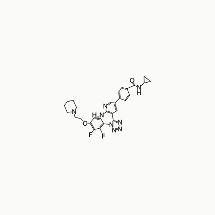 Nc1ncc(-c2ccc(C(=O)NC3CC3)cc2)cc1-c1nnnn1-c1ccc(OCCN2CCCCC2)c(F)c1F